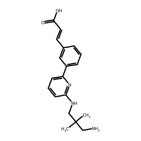 CC(C)(CN)CNc1cccc(-c2cccc(/C=C/C(=O)O)c2)n1